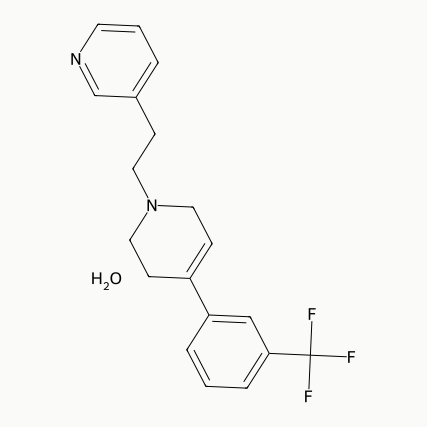 FC(F)(F)c1cccc(C2=CCN(CCc3cccnc3)CC2)c1.O